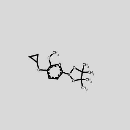 COc1nc(B2OC(C)(C)C(C)(C)O2)ccc1OC1CC1